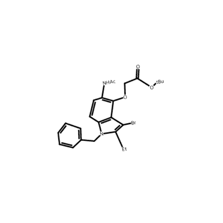 CCc1c(Br)c2c(OCC(=O)OC(C)(C)C)c(NC(C)=O)ccc2n1Cc1ccccc1